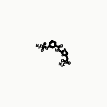 CS(=O)(=O)Cc1cnc(NC(=O)c2cccc(OS(C)(=O)=O)c2)s1